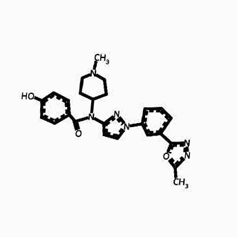 Cc1nnc(-c2cccc(-n3ccc(N(C(=O)c4ccc(O)cc4)C4CCN(C)CC4)n3)c2)o1